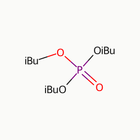 CCC(C)OP(=O)(OCC(C)C)OCC(C)C